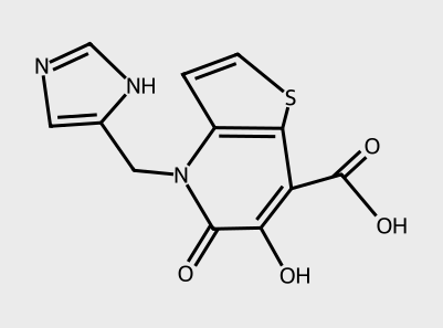 O=C(O)c1c(O)c(=O)n(Cc2cnc[nH]2)c2ccsc12